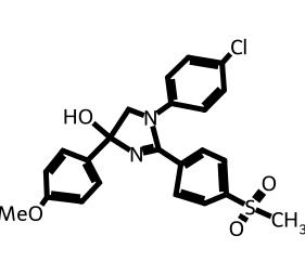 COc1ccc(C2(O)CN(c3ccc(Cl)cc3)C(c3ccc(S(C)(=O)=O)cc3)=N2)cc1